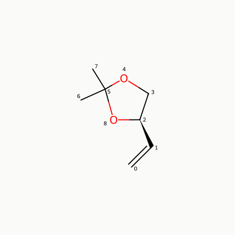 C=C[C@@H]1COC(C)(C)O1